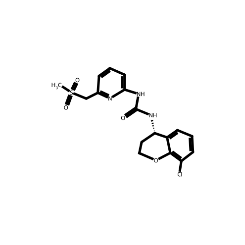 CS(=O)(=O)Cc1cccc(NC(=O)N[C@H]2CCOc3c(Cl)cccc32)n1